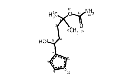 CC(C)(CCC(O)c1ccsc1)OC(N)=O